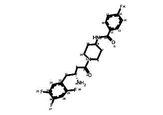 N[C@@H](CC(=O)N1CCC(NC(=O)c2ccc(F)cc2)CC1)Cc1cc(F)c(F)cc1F